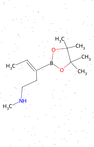 C/C=C(\CCNC)B1OC(C)(C)C(C)(C)O1